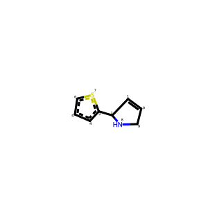 C1=CC(c2cccs2)NC1